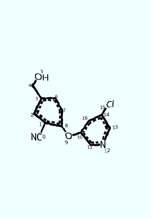 N#Cc1cc(CO)ccc1Oc1cncc(Cl)c1